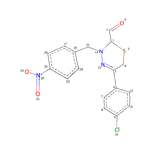 O=CC1SCC(c2ccc(Cl)cc2)=NN1Cc1ccc([N+](=O)[O-])cc1